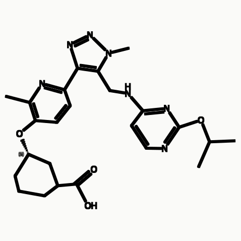 Cc1nc(-c2nnn(C)c2CNc2ccnc(OC(C)C)n2)ccc1O[C@H]1CCCC(C(=O)O)C1